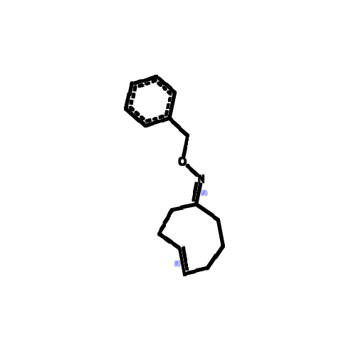 C1=C/CC/C(=N\OCc2ccccc2)CCC/1